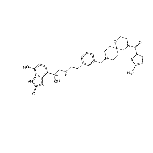 CC1=CCC(C(=O)N2CCOC3(CCN(Cc4cccc(CCNC[C@H](O)c5ccc(O)c6[nH]c(=O)sc56)c4)CC3)C2)S1